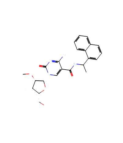 CO[C@@H]1[C@@H](O)[C@@H](CO)O[C@H]1n1cc(C(=O)NC(C)c2cccc3ccccc23)c(N)nc1=O